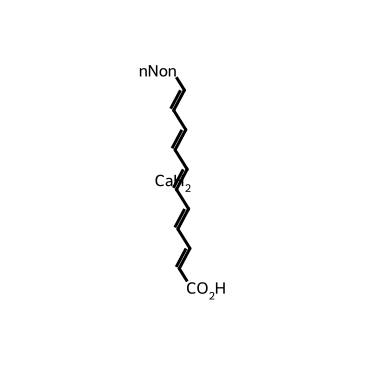 CCCCCCCCCC=CC=CC=CC=CC=CC(=O)O.[CaH2]